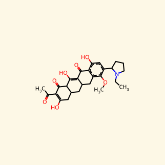 CCN1CCCC1c1cc(O)c2c(c1OC)CC1CC3CC(O)=C(C(C)=O)C(=O)C3C(O)=C1C2=O